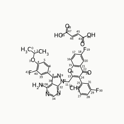 CC(C)Oc1ccc(-c2nn([C@@H](C)c3oc4ccc(F)cc4c(=O)c3-c3cccc(F)c3)c3ncnc(N)c23)cc1F.O=C(O)C=CC(=O)O